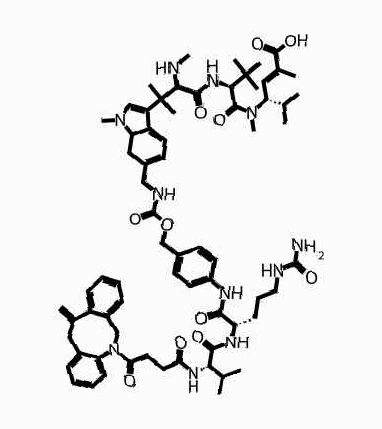 C=C1Cc2ccccc2N(C(=O)CCC(=O)N[C@H](C(=O)N[C@@H](CCCNC(N)=O)C(=O)Nc2ccc(COC(=O)NCC3=CC=C4C(C(C)(C)C(NC)C(=O)N[C@H](C(=O)N(C)[C@H](/C=C(\C)C(=O)O)C(C)C)C(C)(C)C)=CN(C)C4C3)cc2)C(C)C)Cc2ccccc21